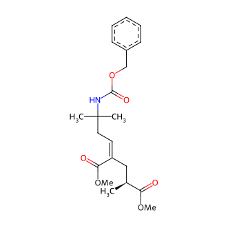 COC(=O)/C(=C\CC(C)(C)NC(=O)OCc1ccccc1)C[C@H](C)C(=O)OC